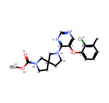 Cc1cccc(Oc2cncnc2N2CCC3(CCN(C(=O)OC(C)(C)C)C3)C2)c1Cl